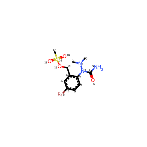 CN(C)N(C(N)=O)c1ccc(Br)cc1COS(C)(=O)=O